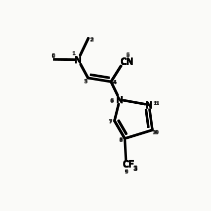 CN(C)C=C(C#N)n1cc(C(F)(F)F)cn1